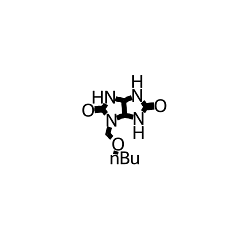 CCCCOCN1C(=O)NC2NC(=O)NC21